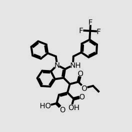 CCOC(=O)C(/C(=C/C(=O)O)C(=O)O)c1c(NCc2cccc(C(F)(F)F)c2)n(Cc2ccccc2)c2ccccc12